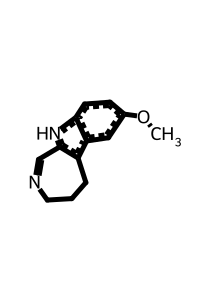 COc1ccc2[nH]c3c(c2c1)CCCN=C3